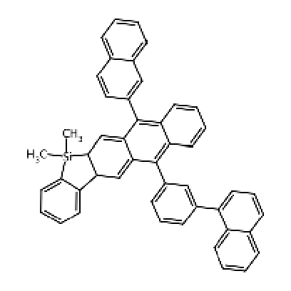 C[Si]1(C)c2ccccc2C2C=c3c(-c4cccc(-c5cccc6ccccc56)c4)c4ccccc4c(-c4ccc5ccccc5c4)c3=CC21